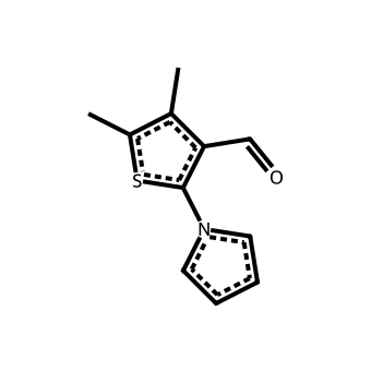 Cc1sc(-n2cccc2)c(C=O)c1C